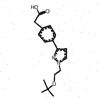 CC(C)(C)OCCn1ccc(-c2ccc(CC(=O)O)cc2)n1